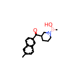 CB(O)N1CCCC(C(=O)c2ccc3cc(C)ccc3c2)C1